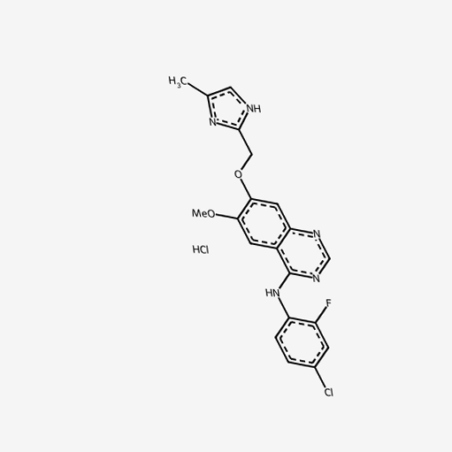 COc1cc2c(Nc3ccc(Cl)cc3F)ncnc2cc1OCc1nc(C)c[nH]1.Cl